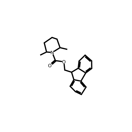 CC1CCCC(C)N1C(=O)OCC1c2ccccc2-c2ccccc21